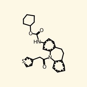 O=C(Nc1ccc2c(c1)N(C(=O)Cc1ccsc1)c1ccccc1CC2)OC1CCCCC1